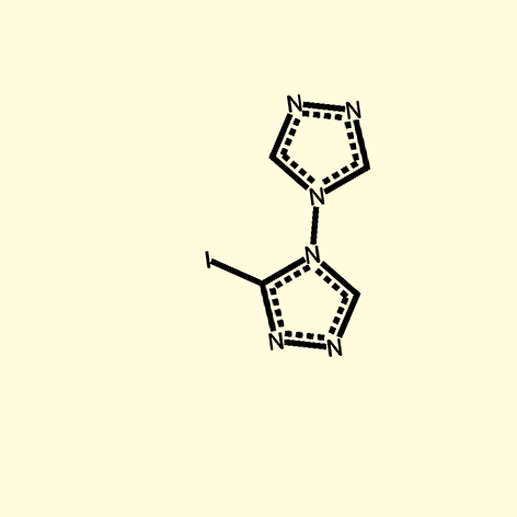 Ic1nncn1-n1cnnc1